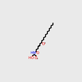 CCCCCCCCCCCCCC(C/C=C/CCC(=O)NC(CO)COC)OC